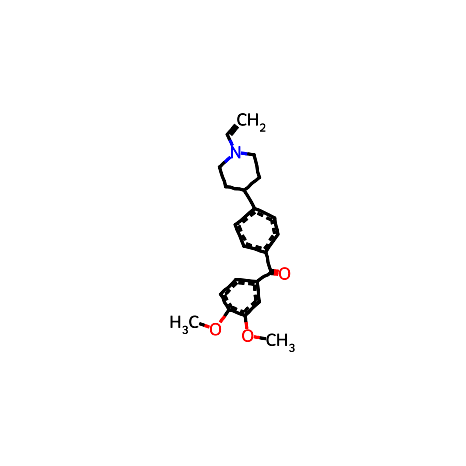 C=CN1CCC(c2ccc(C(=O)c3ccc(OC)c(OC)c3)cc2)CC1